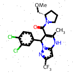 COC[C@@H]1CCCN1C(=O)C1=C(C)Nc2cc(C(F)(F)F)nn2C1c1ccc(Cl)c(Cl)c1